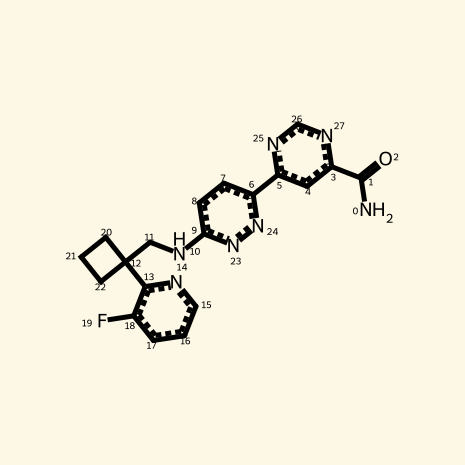 NC(=O)c1cc(-c2ccc(NCC3(c4ncccc4F)CCC3)nn2)ncn1